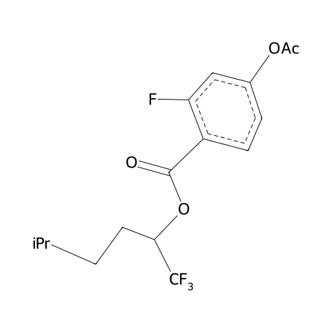 CC(=O)Oc1ccc(C(=O)OC(CCC(C)C)C(F)(F)F)c(F)c1